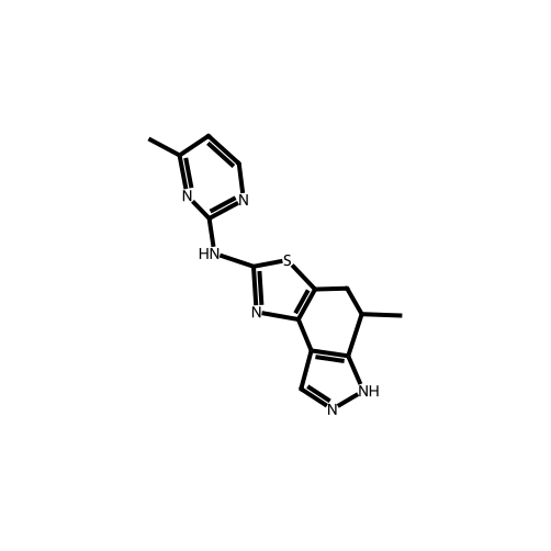 Cc1ccnc(Nc2nc3c(s2)CC(C)c2[nH]ncc2-3)n1